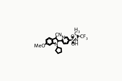 COc1ccc2c(c1)N(C1CCCC1)C(c1ccc(S(=O)(=O)N[C@H](C)C(F)(F)F)cn1)C2C#N